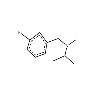 CC(C)N(C)Cc1cccc(F)c1